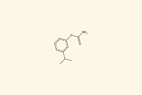 CC(C)c1cccc(OC(N)=O)c1